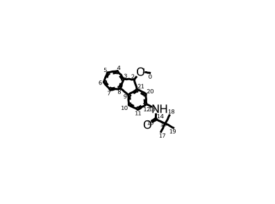 COC1c2ccccc2-c2ccc(NC(=O)C(C)(C)C)cc21